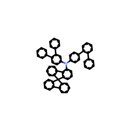 c1ccc(-c2ccccc2-c2ccc(N(c3ccc(-c4ccccc4)c(-c4ccccc4)c3)c3cccc4c3-c3ccccc3C43c4ccccc4-c4ccccc43)cc2)cc1